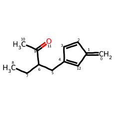 C=C1C=CC(CC(CC)C(C)=O)=C1